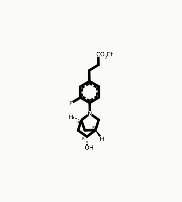 CCOC(=O)CCc1ccc(N2C[C@H]3C[C@H]2C[C@H]3O)c(F)c1